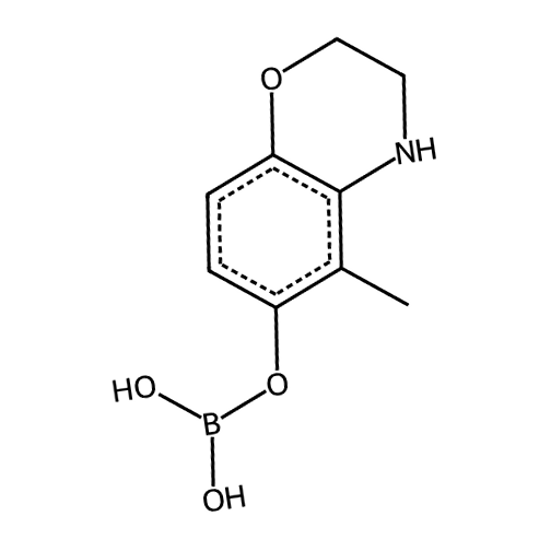 Cc1c(OB(O)O)ccc2c1NCCO2